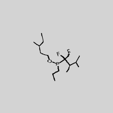 CCCP(OCCC(C)CC)C(F)(F)C(C)C(C)C